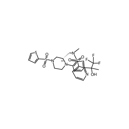 CN(C[C@H]1CN(S(=O)(=O)c2cccs2)CCN1c1ccc(C(C)(O)C(F)(F)F)cc1)S(=O)(=O)c1cccnc1